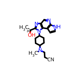 C[C@@H](O)c1nc2cnc3[nH]ccc3c2n1C1CCC(N(C)CCC#N)CC1